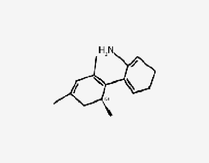 CC1=CC(C)=C(C2=CCCC=C2N)[C@@H](C)C1